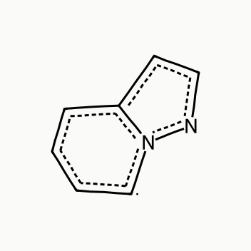 [c]1cccc2ccnn12